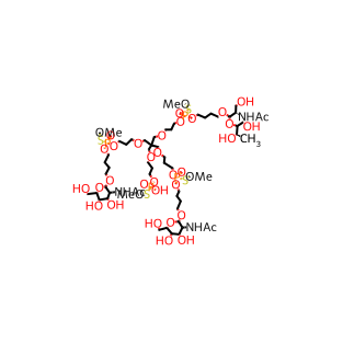 COSP(=O)(O)OCCCOCC(COCCCOP(=O)(OCCCCOC1OC(CO)C(O)C(O)C1NC(C)=O)SOC)(COCCCOP(=O)(OCCCCOC1OC(CO)C(O)C(O)C1NC(C)=O)SOC)COCCCOP(=O)(OCCCCOC(OC(CO)[C@@H](C)O)[C@H](CO)NC(C)=O)SOC